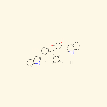 O=C(O)c1cc(Cl)c(C(=O)O)c(-c2c3cc(-c4cnc5ccccc5c4)c(=O)cc-3oc3cc(O)c(-c4cnc5ccccc5c4)cc23)c1Cl